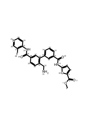 COC(=O)c1ccc(NC(=O)c2cccc(-c3cc(C(=O)Nc4ccncc4F)ccc3CN)c2)o1